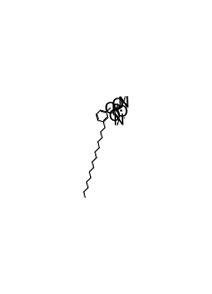 CCCCCCCCCCCCCCCc1cccc(OP(=O)(ON(C)C)ON(C)C)c1